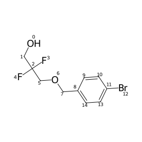 OCC(F)(F)COCc1ccc(Br)cc1